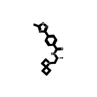 Cc1nc(-c2ccc(C(=O)N[C@H](C)CN3CCC34CCC4)cc2)no1